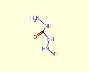 CC(C)NNC(=O)NN